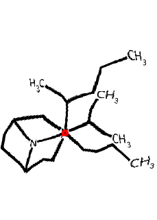 CCCC(C)C(CCC)N1C2CC1CN(C(C)C)C2